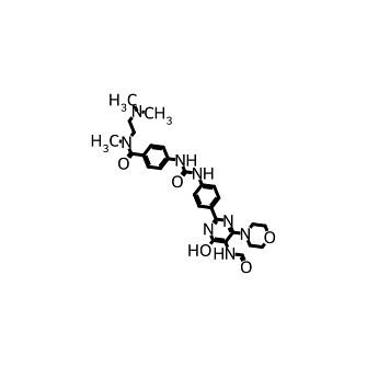 CN(C)CCN(C)C(=O)c1ccc(NC(=O)Nc2ccc(-c3nc(O)c(NC=O)c(N4CCOCC4)n3)cc2)cc1